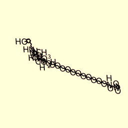 Cc1nc(NCCCc2cccc(O)c2)nc(C)c1C(=O)NC(CNC(=O)CCOCOCCOCCOCCOCCOCCOCCOCCOCCOCCOCCOCCNC(=O)CCN1C(=O)C=CC1=O)C(=O)O